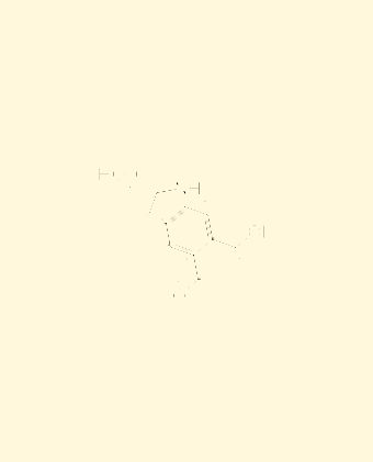 C[C@@H](N)C(=O)O.OCc1ccccc1CO